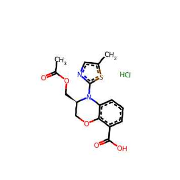 CC(=O)OC[C@@H]1COc2c(C(=O)O)cccc2N1c1ncc(C)s1.Cl